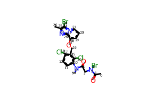 CC(=O)N(Br)CC(=O)N(C)c1ccc(Cl)c(COc2cccn3c(Br)c(C)nc23)c1Cl